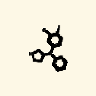 Fc1ccc(N(c2ccccn2)[C@H]2CCNC2)cc1Cl